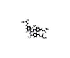 C=C(/N=C(\N=C(/C)c1ccc(CCC(CC)CCCC)cc1C#N)c1ccc(CCC(CC)CCCC)cc1C#N)c1ccc(CCC(C)CCCC)cc1